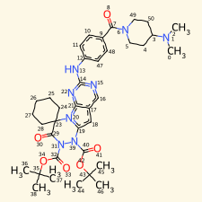 CN(C)C1CCN(C(=O)c2ccc(Nc3ncc4cc5n(c4n3)C3(CCCCC3)C(=O)N(C(=O)OC(C)(C)C)N5C(=O)OC(C)(C)C)cc2)CC1